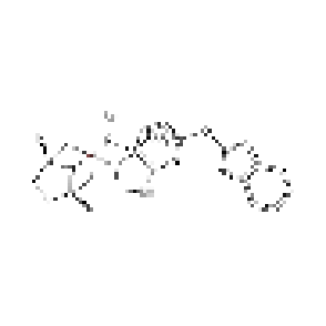 CC(=O)N(CC(=O)O)[C@H]1C[C@H]2CC[C@@H](C1)N2CC1CNc2cc(Oc3nc4ccccc4s3)ccc21